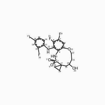 O=S1(=O)Nc2c(cc(F)c(F)c2Nc2ccc(I)cc2F)OCCC(O)CC12CC2